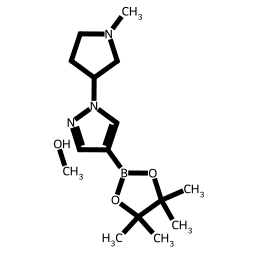 CN1CCC(n2cc(B3OC(C)(C)C(C)(C)O3)cn2)C1.CO